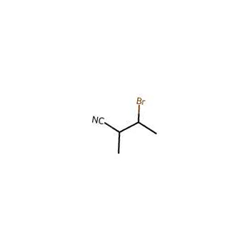 CC(Br)C(C)C#N